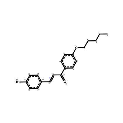 CCCCCOc1ccc(C(=O)/C=C/c2ccc(O)cc2)cc1